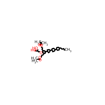 C=C(C)C(=O)OCCCc1cc(C2CCC(C3CCC(C4CCC(CCCCC)CC4)CC3)CC2)cc(CCCOC(=O)C(=C)C)c1OCCC(CO)CO